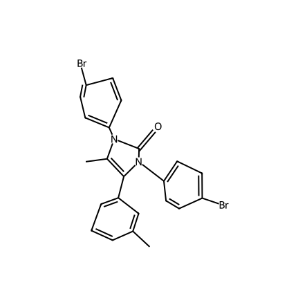 Cc1cccc(-c2c(C)n(-c3ccc(Br)cc3)c(=O)n2-c2ccc(Br)cc2)c1